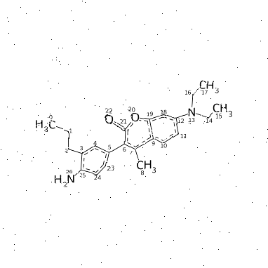 CCCc1cc(-c2c(C)c3ccc(N(CC)CC)cc3oc2=O)ccc1N